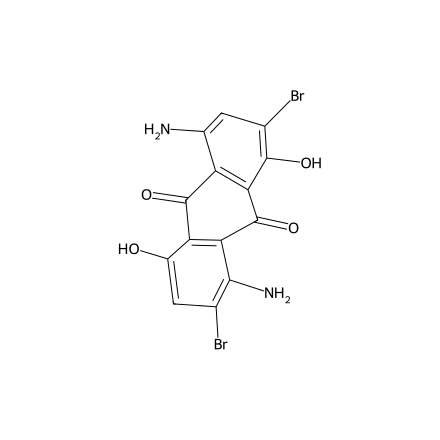 Nc1cc(Br)c(O)c2c1C(=O)c1c(O)cc(Br)c(N)c1C2=O